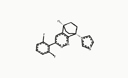 Fc1cccc(F)c1-c1cc2c(nn1)[C@]1(n3ccnc3)CC[C@H]2CC1